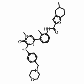 Cc1c(NC(=O)c2cc3c(s2)CCC(C)C3)cccc1-c1cn(C)c(=O)c(Nc2ccc(CN3CCOCC3)cc2)n1